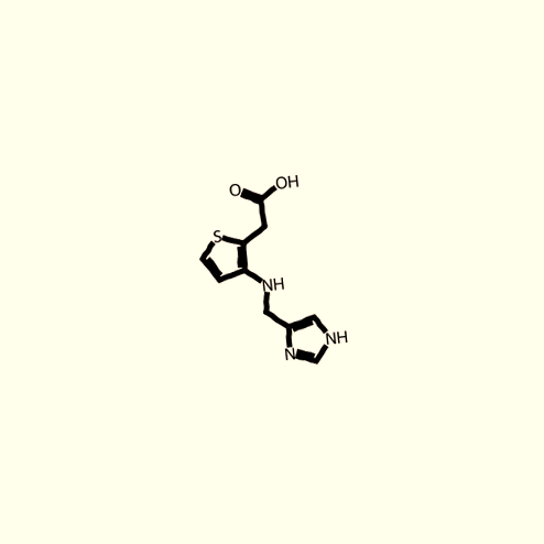 O=C(O)Cc1sccc1NCc1c[nH]cn1